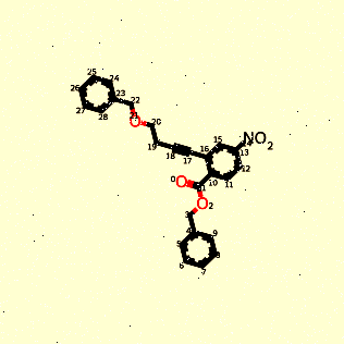 O=C(OCc1ccccc1)c1ccc([N+](=O)[O-])cc1C#CCCOCc1ccccc1